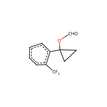 O=COC1(c2ccccc2C(F)(F)F)CC1